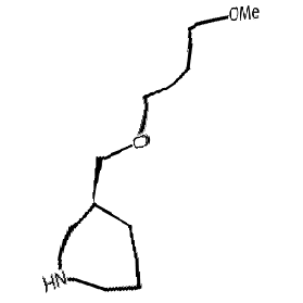 COCCCOC[C@H]1CCCNC1